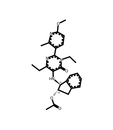 CCc1nc(-c2ccc(OC)nc2C)n(CC)c(=O)c1N[C@H]1c2ccccc2C[C@@H]1OC(C)=O